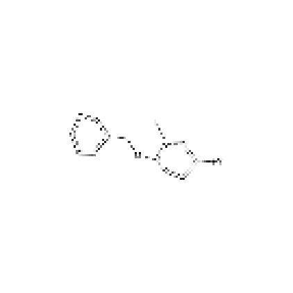 CC(C)c1ccc(OCc2ccccc2)c(I)c1